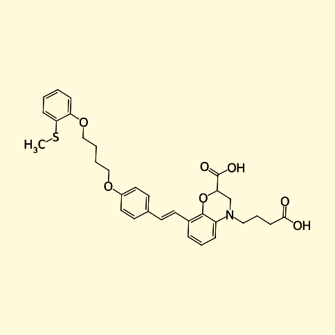 CSc1ccccc1OCCCCOc1ccc(/C=C/c2cccc3c2OC(C(=O)O)CN3CCCC(=O)O)cc1